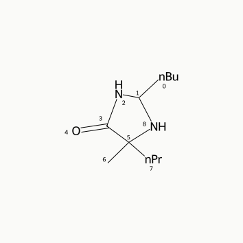 CCCCC1NC(=O)C(C)(CCC)N1